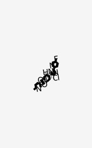 Cc1ccc(S(=O)(=O)N2CC[C@@H](c3[nH]c(-c4ccc(F)cn4)nc3Cl)[C@@H](C)C2)cn1